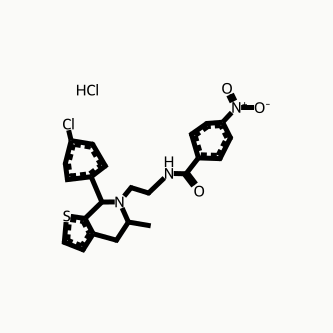 CC1Cc2ccsc2C(c2ccc(Cl)cc2)N1CCNC(=O)c1ccc([N+](=O)[O-])cc1.Cl